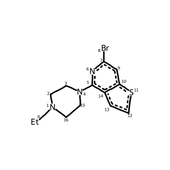 CCN1CCN(c2nc(Br)cc3sccc23)CC1